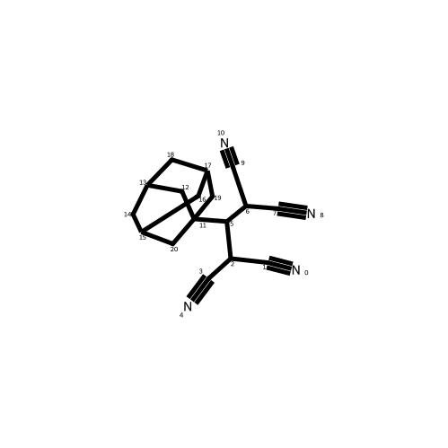 N#CC(C#N)C(C(C#N)C#N)C12CC3CC(CC(C3)C1)C2